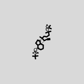 C#CCC(C)(CCCC(C)(C)O[Si](C)(C)C)[C@H]1CCC2[C@@H](O[Si](C)(C)C(C)(C)C)CCC[C@@]21C